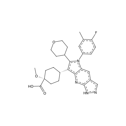 CO[C@]1(C(=O)O)CC[C@H](c2c(C3CCOCC3)n(-c3ccc(F)c(C)c3)c3cc4cn[nH]c4nc32)CC1